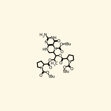 CC(OC(=O)C1CCCN1C(=O)OC(C)(C)C)C(OC(=O)C1CCCN1C(=O)OC(C)(C)C)C1CNc2nc(N)[nH]c(=O)c2N1C(=O)OC(C)(C)C